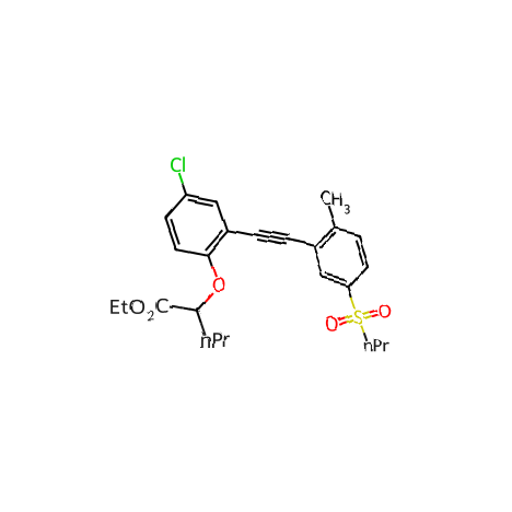 CCCC(Oc1ccc(Cl)cc1C#Cc1cc(S(=O)(=O)CCC)ccc1C)C(=O)OCC